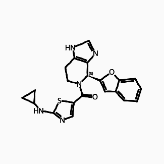 O=C(c1cnc(NC2CC2)s1)N1CCc2[nH]cnc2[C@H]1c1cc2ccccc2o1